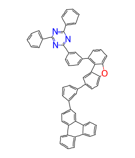 c1ccc(-c2nc(-c3ccccc3)nc(-c3cccc(-c4cccc5oc6ccc(-c7cccc(-c8ccc9c%10ccccc%10c%10ccccc%10c9c8)c7)cc6c45)c3)n2)cc1